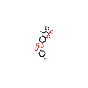 CCc1c(C)c2ccc(OS(=O)(=O)c3ccc(Cl)cc3)cc2oc1=O